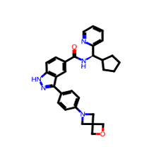 O=C(N[C@@H](c1ccccn1)C1CCCC1)c1ccc2[nH]nc(-c3ccc(N4CC5(COC5)C4)cc3)c2c1